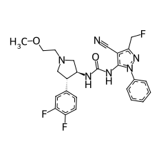 COCCN1C[C@@H](NC(=O)Nc2c(C#N)c(CF)nn2-c2ccccc2)[C@H](c2ccc(F)c(F)c2)C1